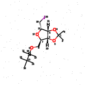 CC1(C)O[C@@H]2[C@H](O1)[C@@H](CO[Si](C)(C)C(C)(C)C)O[C@@H]2CI